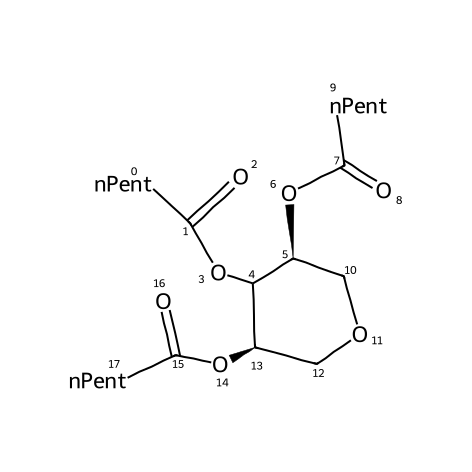 CCCCCC(=O)OC1[C@@H](OC(=O)CCCCC)COC[C@H]1OC(=O)CCCCC